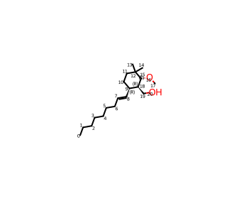 CCCCCCCC=C[C@H]1CCC(C)(C)[C@H](OC)[C@H]1CO